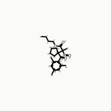 CCCCOC(=O)C(C)(P=O)C1(C(=O)c2c(C)cc(C)cc2C)CCCC1